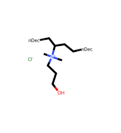 CCCCCCCCCCCCC(CCCCCCCCCCC)[N+](C)(C)CCCO.[Cl-]